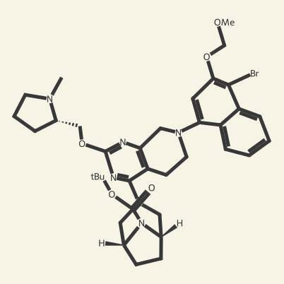 COCOc1cc(N2CCc3c(nc(OC[C@@H]4CCCN4C)nc3N3C[C@H]4CC[C@@H](C3)N4C(=O)OC(C)(C)C)C2)c2ccccc2c1Br